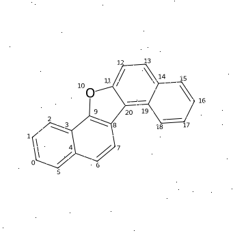 c1ccc2c(c1)ccc1c2oc2ccc3ccccc3c21